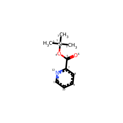 C[Si](C)(C)OC(=O)c1ccccn1